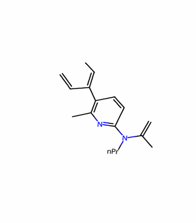 C=C/C(=C\C)c1ccc(N(CCC)C(=C)C)nc1C